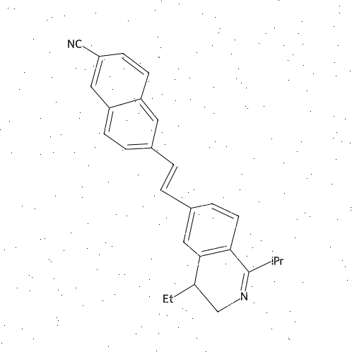 CCC1CN=C(C(C)C)c2ccc(/C=C/c3ccc4cc(C#N)ccc4c3)cc21